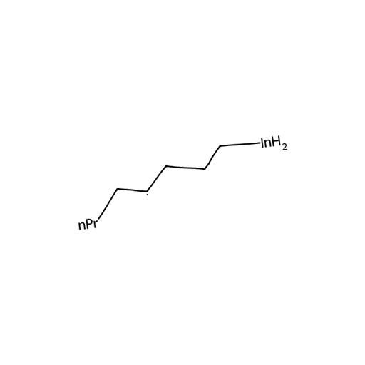 CCCC[CH]CC[CH2][InH2]